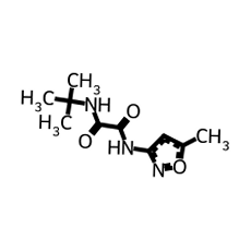 Cc1cc(NC(=O)C(=O)NC(C)(C)C)no1